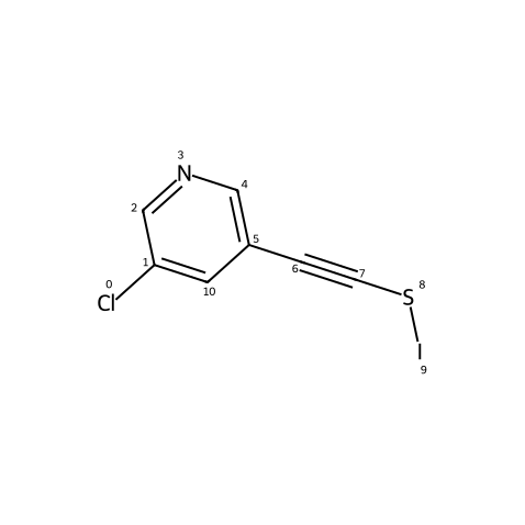 Clc1cncc(C#CSI)c1